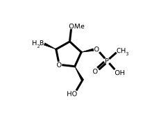 B[C@@H]1O[C@H](CO)[C@H](OP(C)(=O)O)C1OC